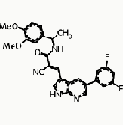 COc1ccc([C@@H](C)NC(=O)/C(C#N)=C/c2c[nH]c3ncc(-c4cc(F)cc(F)c4)cc23)cc1OC